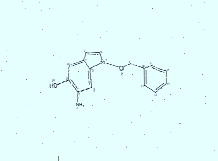 Nc1cc2c(ccn2OCc2ccccc2)cc1O